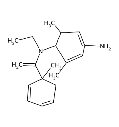 C=C(N(CC)C1C(C)=CC(N)=CC1C)C1(C)C=CC=CC1